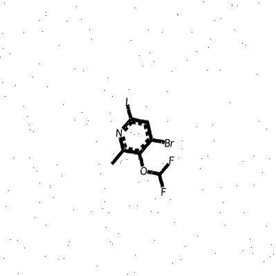 Cc1nc(I)cc(Br)c1OC(F)F